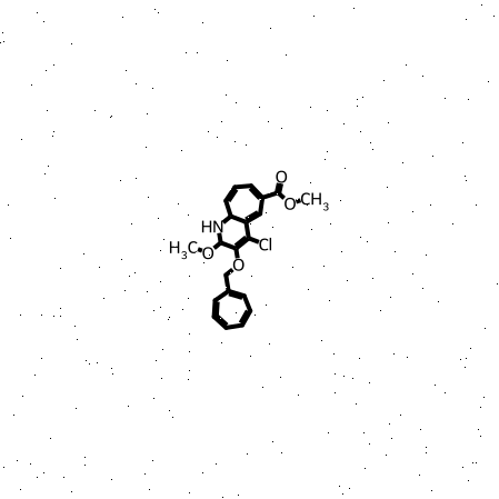 COC(=O)C1=CC=CC2NC(OC)C(OCC3=CC=CC=C=C3)=C(Cl)C2=C1